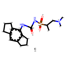 CC(CN(C)C)S(=O)(=O)NC(=O)Nc1c2c(cc3c1CCC3)CCC2.[K]